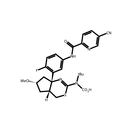 CO[C@H]1C[C@H]2CSC(N(C(=O)O)C(C)(C)C)=N[C@@]2(c2cc(NC(=O)c3ccc(C#N)cn3)ccc2F)C1